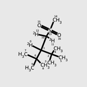 [2H]C(C(C)(C)C)(C(C)(C)C)C([2H])([2H])S(C)(=O)=O